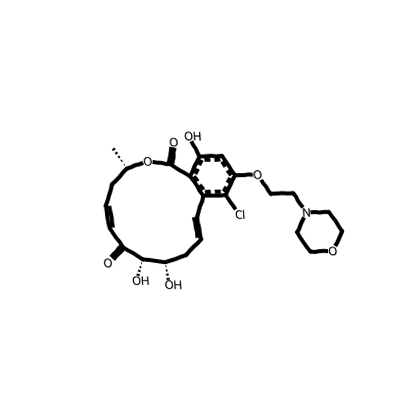 C[C@H]1C/C=C\C(=O)[C@@H](O)[C@@H](O)C/C=C/c2c(Cl)c(OCCN3CCOCC3)cc(O)c2C(=O)O1